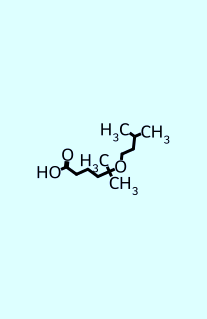 CC(C)CCOC(C)(C)CCCC(=O)O